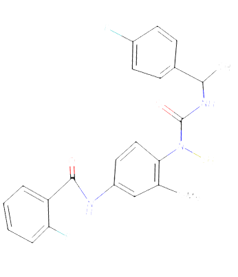 COc1cc(NC(=O)c2ccccc2F)ccc1N(S)C(=O)NC(C)c1ccc(F)cc1